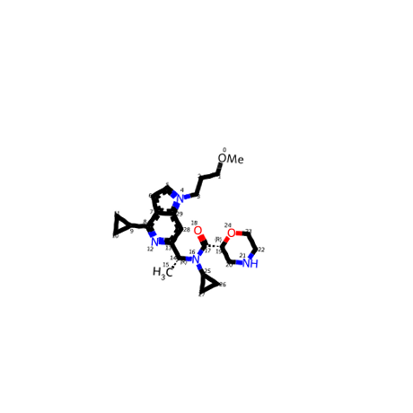 COCCCn1ccc2c(C3CC3)nc([C@@H](C)N(C(=O)[C@H]3CNCCO3)C3CC3)cc21